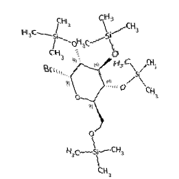 C[Si](C)(C)OC[C@H]1O[C@H](Br)[C@H](O[Si](C)(C)C)[C@@H](O[Si](C)(C)C)[C@@H]1O[Si](C)(C)C